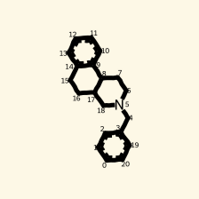 c1ccc(CN2CCC3c4ccccc4CCC3C2)cc1